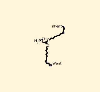 CCCCC/C=C\C/C=C\CCCCCCCCO[C@@H]1[C@@H](CN(C)C)[C@@H]1OCCCCCCCC/C=C\C/C=C\CCCCC